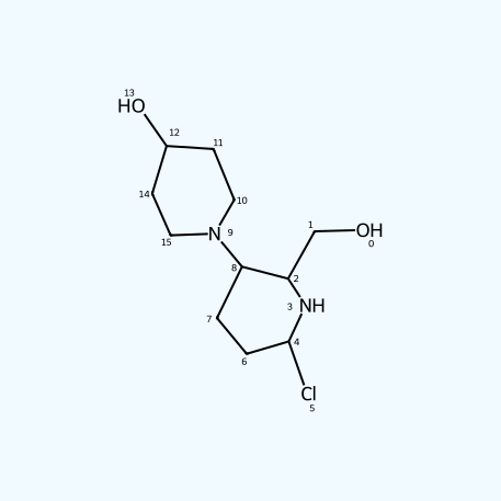 OCC1NC(Cl)CCC1N1CCC(O)CC1